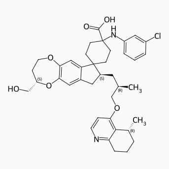 C[C@@H](COc1ccnc2c1[C@H](C)CCC2)C[C@H]1Cc2cc3c(cc2C12CCC(Nc1cccc(Cl)c1)(C(=O)O)CC2)OCC[C@@H](CO)O3